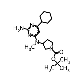 CN(c1cc(C2CCCCC2)nc(N)n1)C1CCN(C(=O)OC(C)(C)C)C1